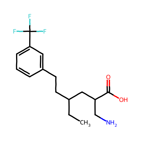 CCC(CCc1cccc(C(F)(F)F)c1)CC(CN)C(=O)O